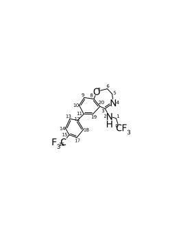 FC(F)(F)CNC1=NCCOc2ccc(-c3ccc(C(F)(F)F)cc3)cc21